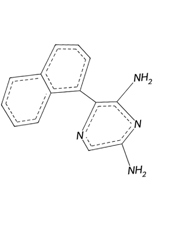 Nc1cnc(-c2cccc3ccccc23)c(N)n1